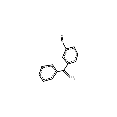 C=C(c1ccccc1)c1cccc(N=O)c1